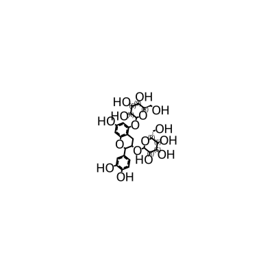 OC[C@H]1OC(Oc2cc(O)cc3c2CC(OC2O[C@H](CO)[C@@H](O)[C@H](O)[C@H]2O)C(c2ccc(O)c(O)c2)O3)[C@H](O)[C@@H](O)[C@@H]1O